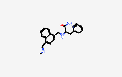 C/N=C/c1ccc(CNC(Cc2ccccc2)C(N)=O)c2ccccc12